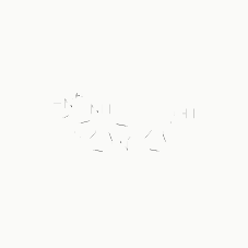 Cc1cc(-c2ccc3c(ccc4sc5c(c43)NC[C@@H](C)NC5=O)n2)cc(C(C)(C)O)c1